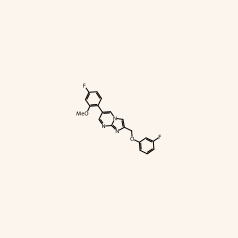 COc1cc(F)ccc1-c1cnc2nc(COc3cccc(F)c3)cn2c1